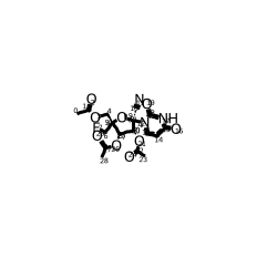 CC(=O)OC[C@@]1(CF)O[C@@](C#N)(n2ccc(=O)[nH]c2=O)[C@H](OC(C)=O)[C@@H]1OC(C)=O